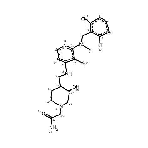 CN(Cc1c(Cl)cccc1Cl)c1ncnc(NCC2CCN(CC(N)=O)CC2O)c1F